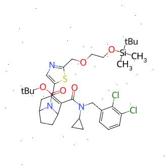 CC(C)(C)OC(=O)N1C2CCC1C(C(=O)N(Cc1cccc(Cl)c1Cl)C1CC1)=C(c1cnc(COCCO[Si](C)(C)C(C)(C)C)s1)C2